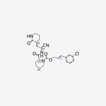 C[C@@H]1CC[C@@H](C(=O)N[C@H](C#N)C[C@@H]2CCCNC2=O)N(C(=O)OC/C=C/c2cccc(Cl)c2)C1